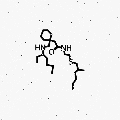 CCCCC(C)CSCCNC(=O)CC1(CNC(CC)CCCC)CCCCC1